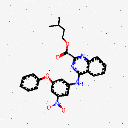 CC(C)CCOC(=O)c1nc(Nc2cc(Oc3ccccc3)cc([N+](=O)[O-])c2)c2ccccc2n1